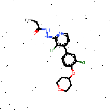 O=C(CC(F)(F)F)NNc1nccc(-c2ccc(OC3CCOCC3)c(Cl)c2)c1Cl